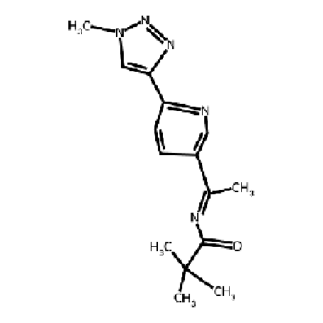 C/C(=N\C(=O)C(C)(C)C)c1ccc(-c2cn(C)nn2)nc1